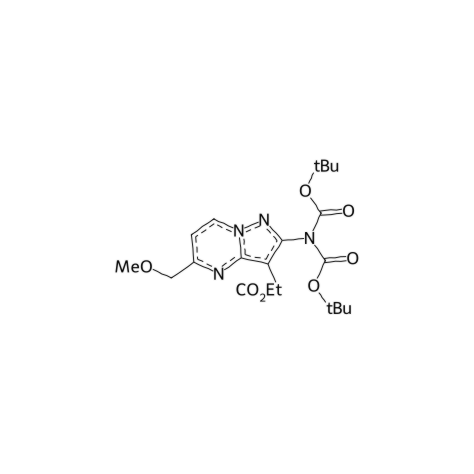 CCOC(=O)c1c(N(C(=O)OC(C)(C)C)C(=O)OC(C)(C)C)nn2ccc(COC)nc12